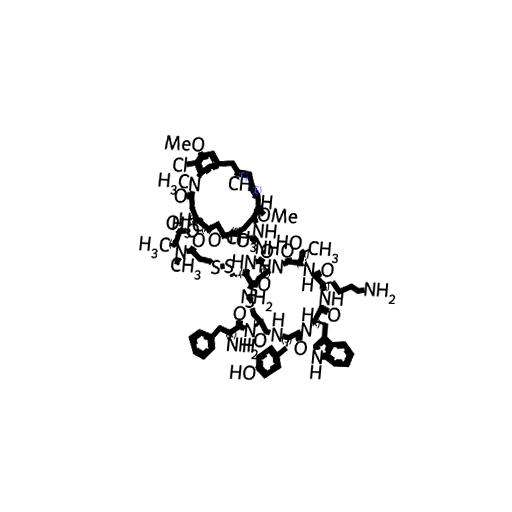 COc1cc2cc(c1Cl)N(C)C(=O)C[C@H](OC(=O)[C@H](C)N(C)C(=O)CCSSC[C@H](NC(=O)[C@@H]1CSSC[C@H](NC(=O)[C@H](N)Cc3ccccc3)C(=O)N[C@@H](Cc3ccc(O)cc3)C(=O)N[C@H](Cc3c[nH]c4ccccc34)C(=O)N[C@@H](CCCCN)C(=O)N[C@@H]([C@@H](C)O)C(=O)N1)C(N)=O)[C@@]1(C)CC(C)(O1)[C@@H]1CC(NC(=N)O1)[C@H](OC)/C=C/C=C(\C)C2